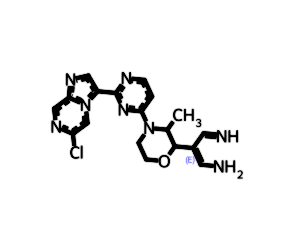 CC1C(/C(C=N)=C/N)OCCN1c1ccnc(-c2cnc3cnc(Cl)cn23)n1